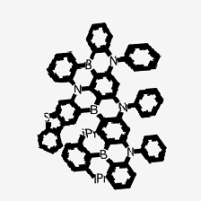 CC(C)c1cccc(C(C)C)c1B1c2ccccc2N(c2ccccc2)c2cc3c(cc21)B1c2cc4c(cc2N2c5ccccc5B5c6ccccc6N(c6ccccc6)c6cc(c1c2c65)N3c1ccccc1)sc1ccccc14